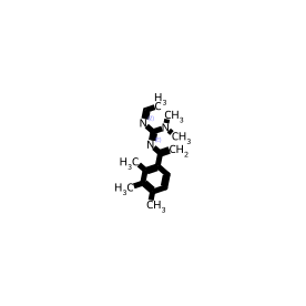 C=C(/N=C(/N=C\C)N(C)C)c1ccc(C)c(C)c1C